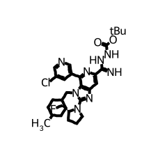 CC1CCC(Cn2c(N3CCC[C@H]3CF)nc3cc(C(=N)NNC(=O)OC(C)(C)C)nc(-c4cncc(Cl)c4)c32)CC1